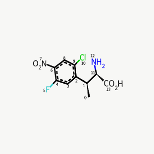 C[C@@H](c1cc(F)c([N+](=O)[O-])cc1Cl)[C@@H](N)C(=O)O